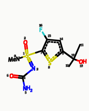 CNS(=O)(=NC(N)=O)c1sc(C(C)(C)O)cc1F